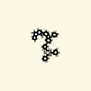 CC1(C)c2ccccc2-c2c1ccc1c2sc2c1ccc1c2c2cc(-c3cccc(-c4nc(-c5ccccc5)nc(-c5ccccc5)n4)c3)ccc2n1-c1ccccc1